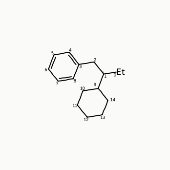 CC[C](Cc1ccccc1)C1CCCCC1